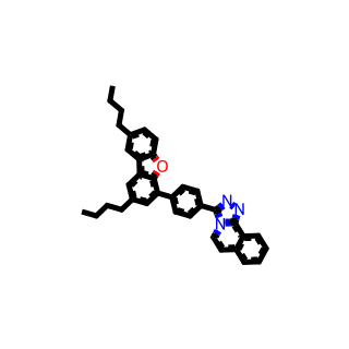 CCCCc1ccc2oc3c(-c4ccc(-c5nnc6c7ccccc7ccn56)cc4)cc(CCCC)cc3c2c1